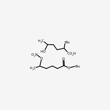 CC(CCCC(=O)OC(C)(C)C)O[N+](=O)[O-].CC(O)CCC(C(=O)O)C(C)(C)C